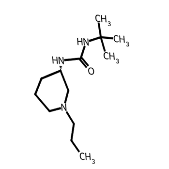 CCCN1CCC[C@H](NC(=O)NC(C)(C)C)C1